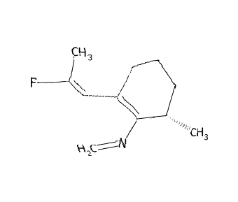 C=NC1=C(/C=C(\C)F)CCC[C@@H]1C